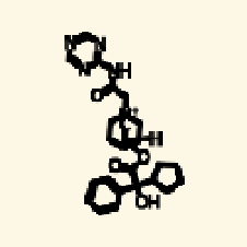 O=C(C[N+]12CCC(CC1)[C@@H](OC(=O)C(O)(c1ccccc1)C1CCCC1)C2)Nc1ncncn1